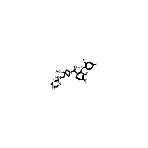 CC(=O)OC1(CNc2ncncn2)CN(C(=O)c2ccc(F)c(F)c2Nc2ccc(I)cc2F)C1